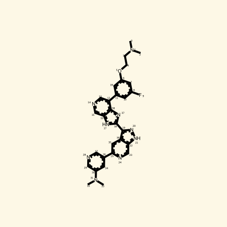 CN(C)CCOc1cc(F)cc(-c2cncc3[nH]c(-c4n[nH]c5cnc(-c6cncc(N(C)C)c6)cc45)nc23)c1